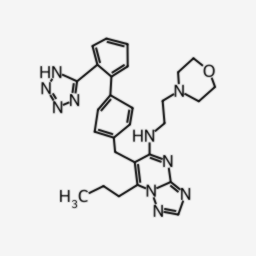 CCCc1c(Cc2ccc(-c3ccccc3-c3nnn[nH]3)cc2)c(NCCN2CCOCC2)nc2ncnn12